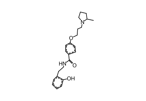 CC1CCCN1CCCOc1ccc(C(=O)NCCc2ccccc2O)cc1